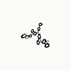 c1ccc(-c2ccc(N(c3ccc4c(c3)c3ccccc3n4-c3ccc4oc5ccccc5c4c3)c3ccc4c(c3)c3ccccc3n4-c3ccc4oc5cccnc5c4c3)cc2)cc1